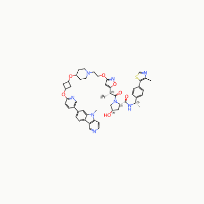 Cc1ncsc1-c1ccc([C@H](C)NC(=O)[C@@H]2C[C@@H](O)CN2C(=O)[C@@H](c2cc(OCCN3CCC(OC4CC(Oc5ccc(-c6ccc7c8cnccc8n(C)c7c6)cn5)C4)CC3)no2)C(C)C)cc1